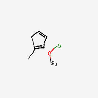 CC(C)(C)OCl.[V][C]1=CC=CC1